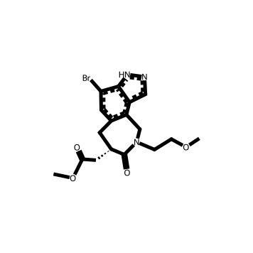 COCCN1Cc2c(cc(Br)c3[nH]ncc23)C[C@@H](CC(=O)OC)C1=O